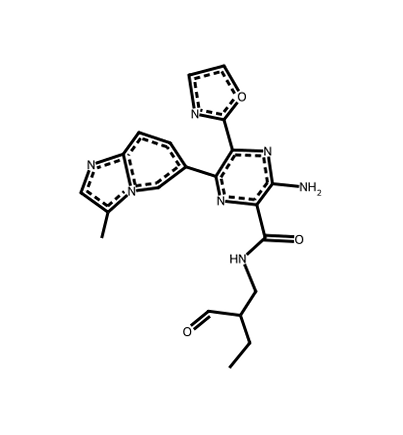 CCC(C=O)CNC(=O)c1nc(-c2ccc3ncc(C)n3c2)c(-c2ncco2)nc1N